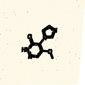 COc1cn[nH]c(=O)c1-n1ccnc1